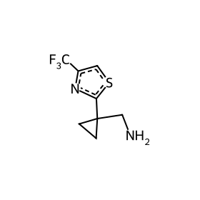 NCC1(c2nc(C(F)(F)F)cs2)CC1